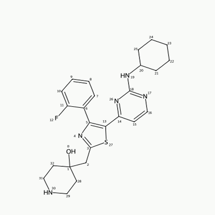 OC1(Cc2nc(-c3ccccc3F)c(-c3ccnc(NC4CCCCC4)n3)s2)CCNCC1